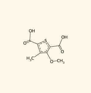 COc1c(C(=O)O)sc(C(=O)O)c1C